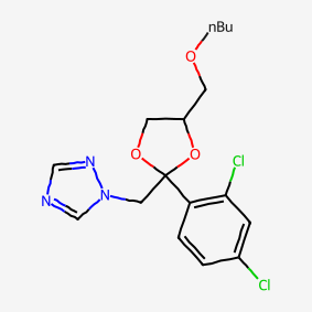 CCCCOCC1COC(Cn2cncn2)(c2ccc(Cl)cc2Cl)O1